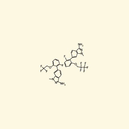 Cn1nc(N)c2ccc(-c3c(F)cccc3OCC(F)(F)C(F)(F)F)cc21.Cn1nc(N)c2ccc(-c3c(F)cccc3OCC(F)(F)F)cc21